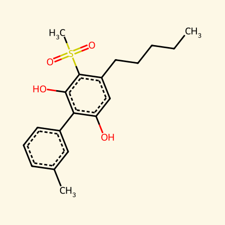 CCCCCc1cc(O)c(-c2cccc(C)c2)c(O)c1S(C)(=O)=O